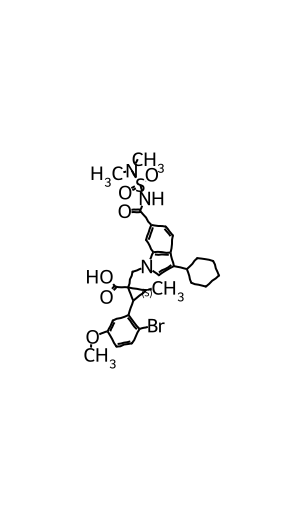 COc1ccc(Br)c(C2[C@H](C)C2(Cn2cc(C3CCCCC3)c3ccc(C(=O)NS(=O)(=O)N(C)C)cc32)C(=O)O)c1